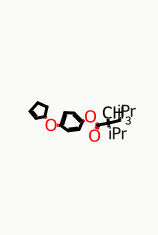 CC(C)CC(C)(C(=O)Oc1ccc(OC2C=CCC2)cc1)C(C)C